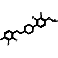 CCCCOc1ccc(C2CCC(CCc3ccc(C)c(F)c3F)CC2)c(F)c1F